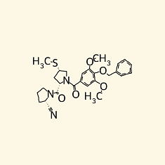 COc1cc(C(=O)N2C[C@@H](SC)C[C@H]2C(=O)N2CCC[C@H]2C#N)cc(OC)c1OCc1ccccc1